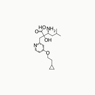 CC(C)C[C@H](N)C(O)(Cc1cc(OCCC2CC2)ccn1)C(=O)O